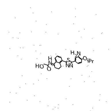 CC(C)Oc1ccc(-c2nnc(-c3cccc4c3CCC[C@H]4NC(=O)CO)s2)cc1N